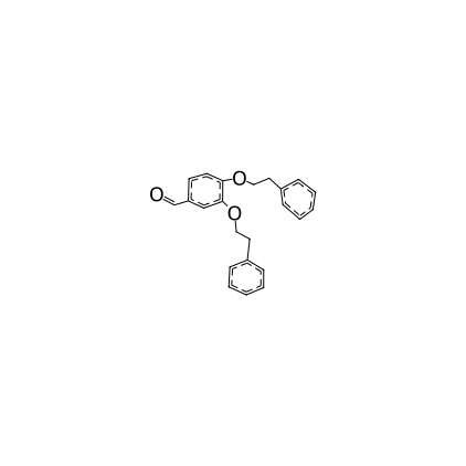 O=Cc1ccc(OCCc2ccccc2)c(OCCc2ccccc2)c1